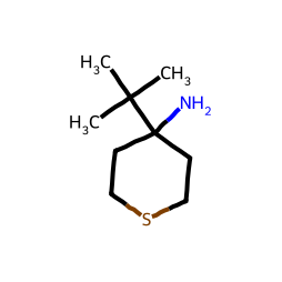 CC(C)(C)C1(N)CCSCC1